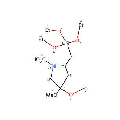 CCOC(CCC[Si](OCC)(OCC)OCC)(CNC(=O)O)OC